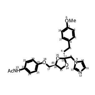 COc1ccc(CC[C@]2(Cn3ccnc3)OC[C@@H](COc3ccc(NC(C)=O)cc3)O2)cc1